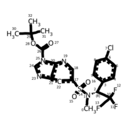 CN([C@H](c1ccc(Cl)cc1)C(F)(F)F)S(=O)(=O)c1cnc2c(c1)ncn2C(=O)OC(C)(C)C